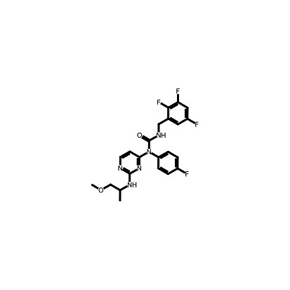 COCC(C)Nc1nccc(N(C(=O)NCc2cc(F)cc(F)c2F)c2ccc(F)cc2)n1